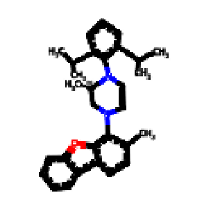 Cc1ccc2c(oc3ccccc32)c1N1C=CN(c2c(C(C)C)cccc2C(C)C)[C@@H](C)C1